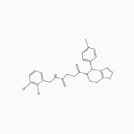 Cc1ccc(C2c3ccsc3CCN2C(=O)CCC(=O)NCc2cccc(Cl)c2Cl)cc1